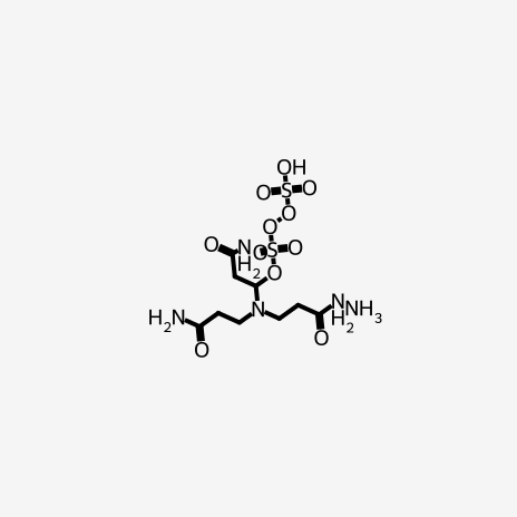 N.NC(=O)CCN(CCC(N)=O)C(CC(N)=O)OS(=O)(=O)OOS(=O)(=O)O